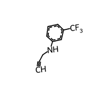 C#CCNc1cccc(C(F)(F)F)c1